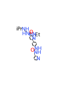 CCNc1nc(-c2ccc(NC(=O)NCc3cccnc3)cc2)ccc1C(=O)NCCNC(C)C